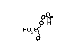 O=C(NC1CC1)c1cccc(-c2ccc(CCC(CCCc3ccccc3)C(=O)O)cc2)c1